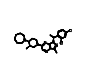 Cc1nn(C(C)c2ccc(Cl)cc2Cl)c2nc(N3CC[C@H](N4CCCCCC4)[C@H](C)C3)cnc12